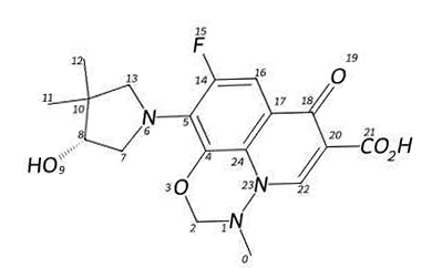 CN1COc2c(N3C[C@H](O)C(C)(C)C3)c(F)cc3c(=O)c(C(=O)O)cn1c23